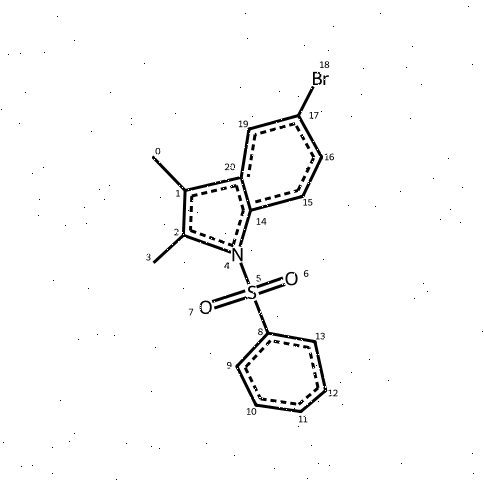 Cc1c(C)n(S(=O)(=O)c2ccccc2)c2ccc(Br)cc12